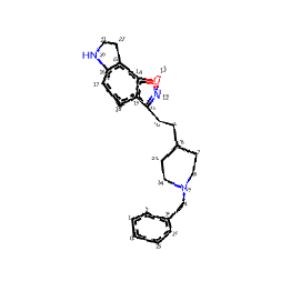 c1ccc(CN2CCC(CCc3noc4c5c(ccc34)NCC5)CC2)cc1